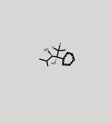 CC(C)[C@@H](O)[C@](O)(c1ccccc1)C(F)(F)F